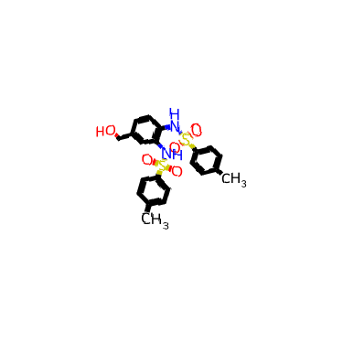 Cc1ccc(S(=O)(=O)Nc2ccc(CO)cc2NS(=O)(=O)c2ccc(C)cc2)cc1